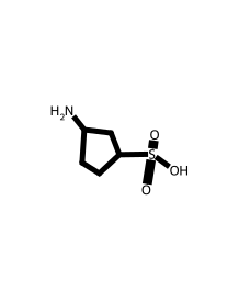 NC1CCC(S(=O)(=O)O)C1